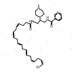 CC/C=C\C/C=C\CC=CCC=CC/C=C\C/C=C\CCC(=O)NCC(CNC(=O)c1cccnc1)N1CCN(C)CC1